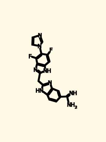 N=C(N)c1ccc2[nH]c(Cc3nc4c(F)c(-n5ccnc5)c(F)cc4[nH]3)nc2c1